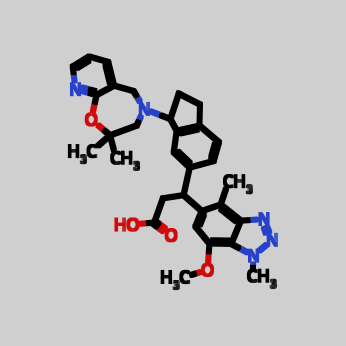 COc1cc(C(CC(=O)O)c2ccc3c(c2)C(N2Cc4cccnc4OC(C)(C)C2)CC3)c(C)c2nnn(C)c12